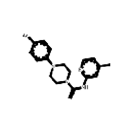 C=C(Nc1cc(C)ccn1)N1CCN(c2ccc(C(C)=O)cc2)CC1